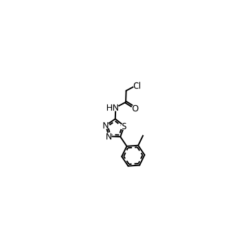 Cc1ccccc1-c1nnc(NC(=O)CCl)s1